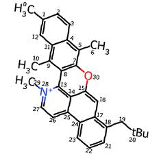 Cc1ccc2c(C)c3c(c(C)c2c1)-c1c2c(cc4c(CC(C)(C)C)cccc4c2cc[n+]1C)O3